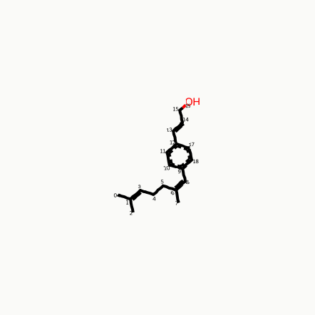 CC(C)=CCCC(C)=Cc1ccc(C=CCO)cc1